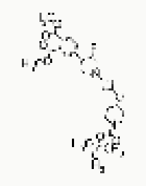 COC(=O)c1ccc([C@@H]2CCN(C3CC(OC4CCN(C(=O)OC(C)(C)C)CC4)C3)C[C@@H]2F)cc1C(=O)OC